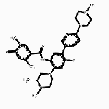 C[C@@H]1CN(c2cc(F)c(-c3ccc(N4CCN(C)CC4)nc3)cc2NC(=O)c2cn(C)c(=O)cc2C(F)(F)F)CCN1C